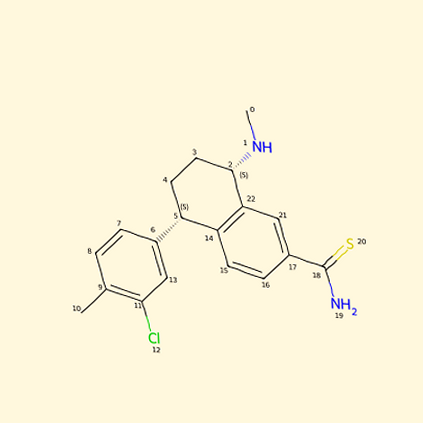 CN[C@H]1CC[C@@H](c2ccc(C)c(Cl)c2)c2ccc(C(N)=S)cc21